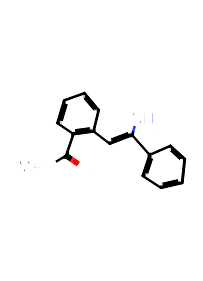 COC(=O)c1[c]cccc1C=C(N)c1ccccc1